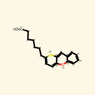 CCCCCCCCCCCCCCCCC1=CC=C2Oc3ccccc3C=C2S1